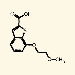 COCCOc1cccc2cc(C(=O)O)sc12